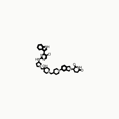 O=C1CCC(N2Cc3ccc(N4CCC(CN5CCC(O)(CN6CCC(Nc7ncc(Cl)c(-c8c[nH]c9ccccc89)n7)C6)CC5)CC4)cc3C2)C(=O)N1